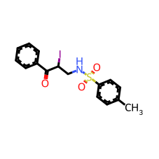 Cc1ccc(S(=O)(=O)NCC(I)C(=O)c2ccccc2)cc1